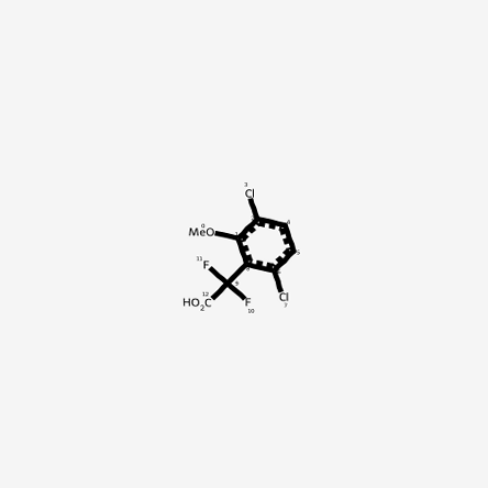 COc1c(Cl)ccc(Cl)c1C(F)(F)C(=O)O